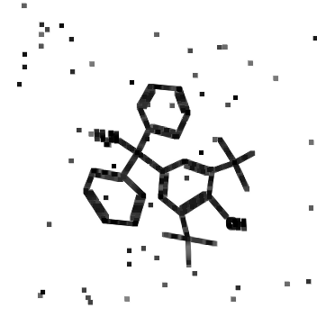 CC(C)(C)c1cc(C(N)(c2ccccc2)c2ccccc2)cc(C(C)(C)C)c1O